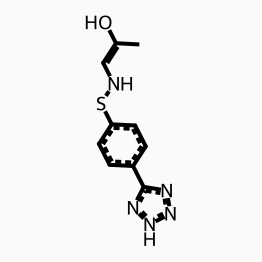 C/C(O)=C\NSc1ccc(-c2nn[nH]n2)cc1